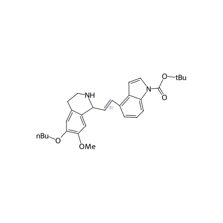 CCCCOc1cc2c(cc1OC)C(/C=C/c1cccc3c1ccn3C(=O)OC(C)(C)C)NCC2